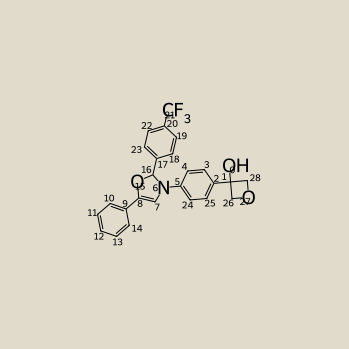 OC1(c2ccc(N3C=C(c4ccccc4)OC3c3ccc(C(F)(F)F)cc3)cc2)COC1